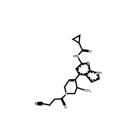 CC1CN(C(=O)CCC#N)CC=C1c1cc(NC(=O)C2CC2)nc2[nH]ccc12